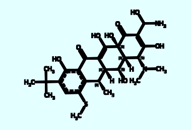 CSc1cc(C(C)(C)C)c(O)c2c1[C@H](C)[C@@H]1C(=C(O)[C@]3(O)C(=O)C(C(N)O)=C(O)[C@@H](N(C)C)[C@@H]3[C@H]1O)C2=O